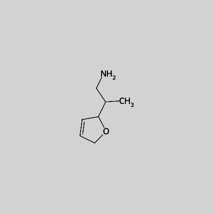 CC(CN)C1C=CCO1